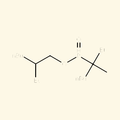 CCCCC(CC)CO[PH](=O)C(C)(CC)CCCC